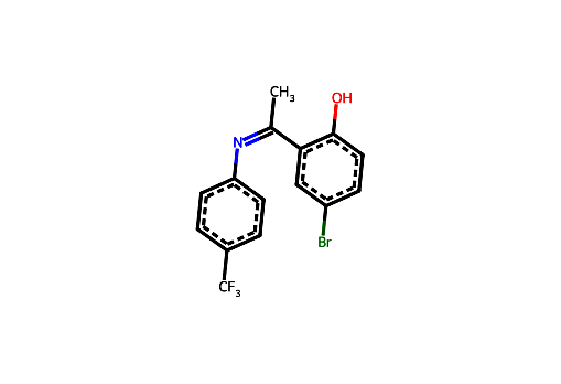 CC(=Nc1ccc(C(F)(F)F)cc1)c1cc(Br)ccc1O